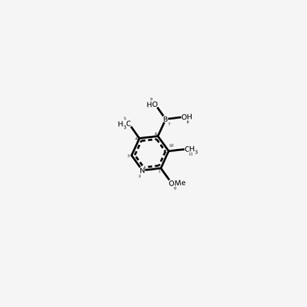 COc1ncc(C)c(B(O)O)c1C